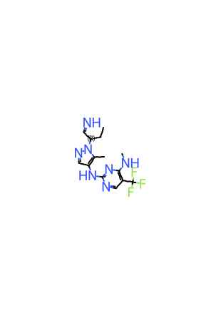 CC[C@H](C=N)n1ncc(Nc2ncc(C(F)(F)F)c(NC)n2)c1C